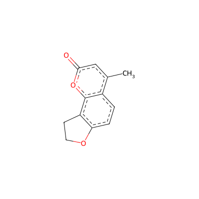 Cc1cc(=O)oc2c3c(ccc12)OCC3